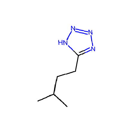 CC(C)CCc1nnn[nH]1